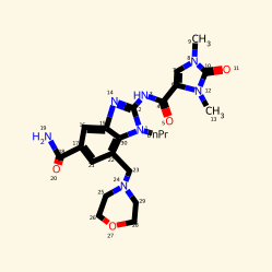 CCCn1c(NC(=O)c2cn(C)c(=O)n2C)nc2cc(C(N)=O)cc(CN3CCOCC3)c21